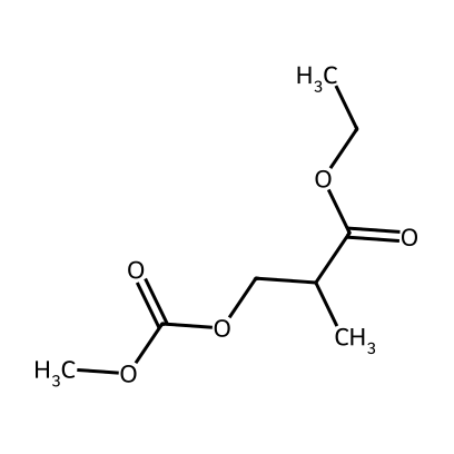 CCOC(=O)C(C)COC(=O)OC